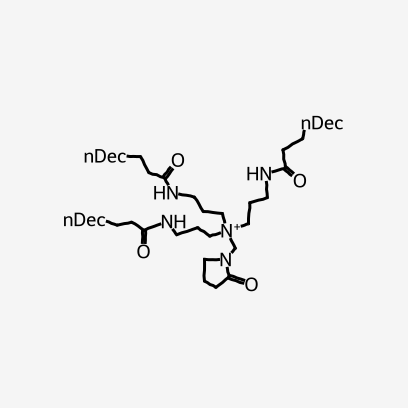 CCCCCCCCCCCCC(=O)NCCC[N+](CCCNC(=O)CCCCCCCCCCCC)(CCCNC(=O)CCCCCCCCCCCC)CN1CCCC1=O